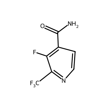 NC(=O)c1ccnc(C(F)(F)F)c1F